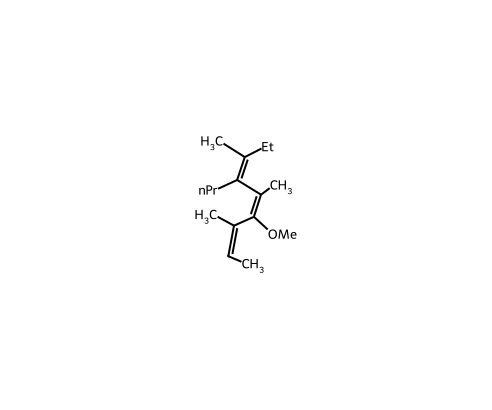 C\C=C(C)/C(OC)=C(C)\C(CCC)=C(\C)CC